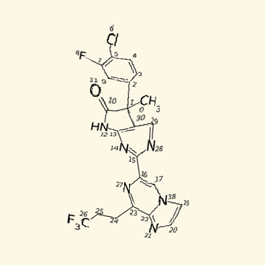 CC1(c2ccc(Cl)c(F)c2)C(=O)Nc2nc(-c3cn4ccnc4c(CCC(F)(F)F)n3)ncc21